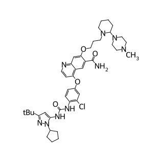 CN1CCN(C2CCCCN2CCCOc2cc3nccc(Oc4ccc(NC(=O)Nc5cc(C(C)(C)C)nn5C5CCCC5)c(Cl)c4)c3cc2C(N)=O)CC1